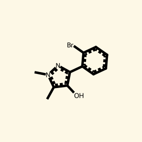 Cc1c(O)c(-c2ccccc2Br)nn1C